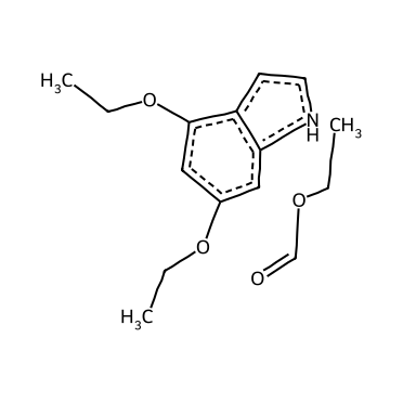 CCOC=O.CCOc1cc(OCC)c2cc[nH]c2c1